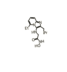 CCc1cccc2nc(CC(C)C)c(NCC(=O)NO)n12